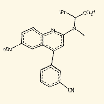 CCCCc1ccc2nc(N(C)C(C(=O)O)C(C)C)cc(-c3cccc(C#N)c3)c2c1